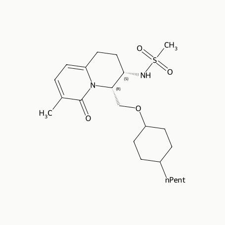 CCCCCC1CCC(OC[C@H]2[C@@H](NS(C)(=O)=O)CCc3ccc(C)c(=O)n32)CC1